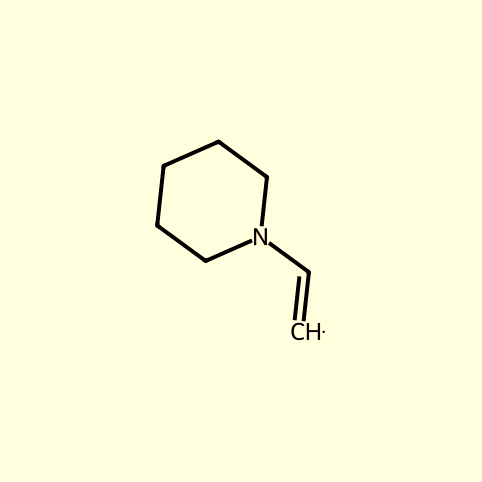 [CH]=CN1CCCCC1